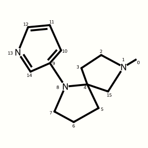 CN1CCC2(CCCN2c2cccnc2)C1